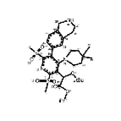 CC(C)OC(=O)C(OC(C)(C)C)c1c(S(C)(=O)=O)nc(S(C)(=O)=O)c(-c2ccc3c(c2)CCNC3)c1N1CCC(C)(C)CC1